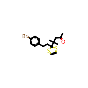 CC(=O)CC(C)(C)C1(CCc2ccc(Br)cc2)SC=CS1